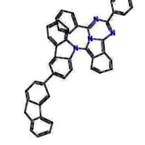 c1ccc(-c2nc(-c3ccccc3)n3c(-n4c5ccccc5c5cc(-c6ccc7c(c6)-c6ccccc6C7)ccc54)c4ccccc4c3n2)cc1